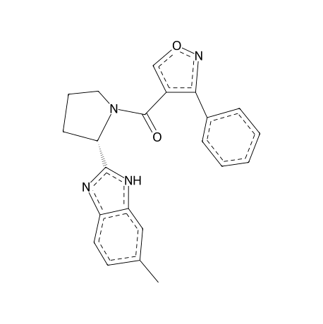 Cc1ccc2nc([C@@H]3CCCN3C(=O)c3conc3-c3ccccc3)[nH]c2c1